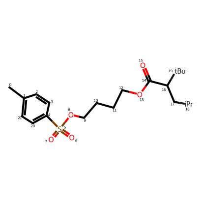 Cc1ccc(S(=O)(=O)OCCCCOC(=O)C(CC(C)C)C(C)(C)C)cc1